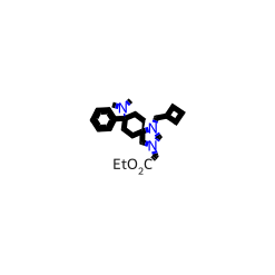 CCOC(=O)CN1CN(CC2CCC2)[C@]2(CC[C@@](c3ccccc3)(N(C)C)CC2)C1